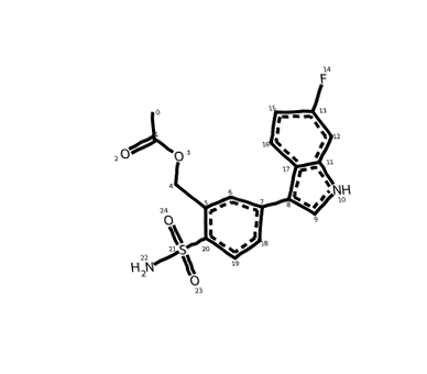 CC(=O)OCc1cc(-c2c[nH]c3cc(F)ccc23)ccc1S(N)(=O)=O